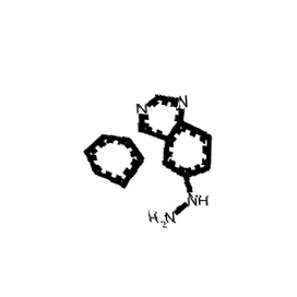 NNc1ccc2ncncc2c1.c1ccccc1